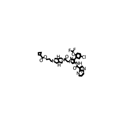 O=C(Nc1cn(CC(=O)N2C[C@H]3CN(CCCOC(=O)C4CCC4)C[C@H]3C2)nc1-c1cc(Cl)ccc1OC(F)F)c1cnn2cccnc12